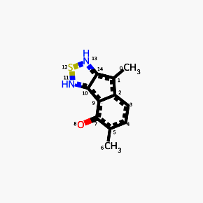 Cc1c2ccc(C)c(=O)c-2c2[nH]s[nH]c1-2